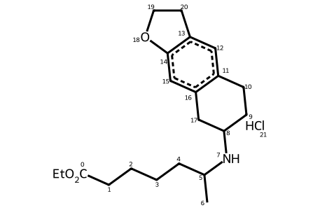 CCOC(=O)CCCCC(C)NC1CCc2cc3c(cc2C1)OCC3.Cl